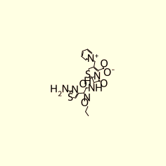 CCCON=C(C(=O)NC1C(=O)N2C(C(=O)[O-])=C(C[n+]3ccccc3)CS[C@@H]12)c1csc(N)n1